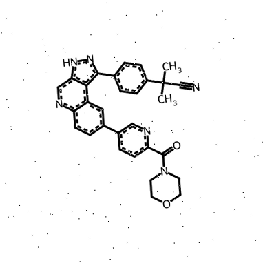 CC(C)(C#N)c1ccc(-c2n[nH]c3cnc4ccc(-c5ccc(C(=O)N6CCOCC6)nc5)cc4c23)cc1